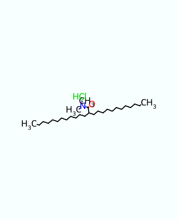 CCCCCCCCCCCCC(CCCCCCCCCCCC)C(=O)N(C)C.Cl